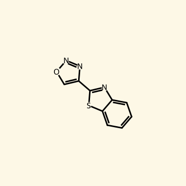 c1ccc2sc(-c3conn3)nc2c1